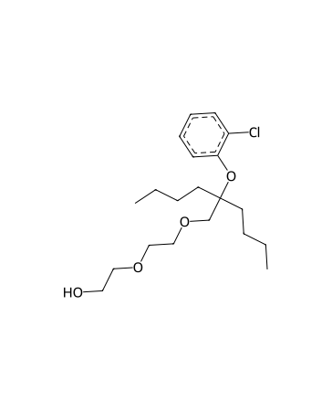 CCCCC(CCCC)(COCCOCCO)Oc1ccccc1Cl